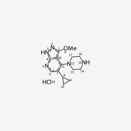 COc1n[nH]c2ncc(C3CC3)c(N3CCNCC3)c12.Cl